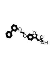 O=S(O)CC1COc2cc(OCCOc3cccc(-c4ccccc4)c3)ccc21